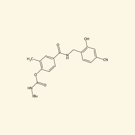 Cc1cc(C(=O)NCc2ccc(C#N)cc2O)ccc1OC(=O)NC(C)(C)C